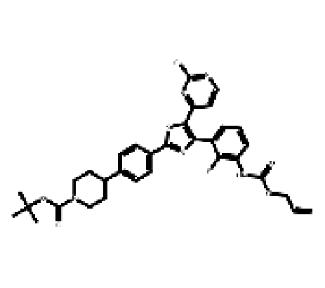 C=CCOC(=O)Nc1cccc(-c2nc(-c3ccc(C4CCN(C(=O)OC(C)(C)C)CC4)cc3)sc2-c2ccnc(Cl)n2)c1F